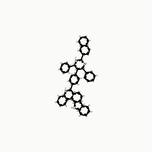 c1ccc(-c2nc(-c3ccc4ccccc4c3)nc(-c3ccccc3)c2-c2ccc(-c3nc4ccccc4c4c3ccc3c5ccccc5oc34)cc2)cc1